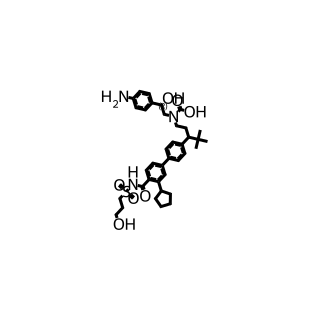 CC(C)(C)C(CCN(C[C@H](O)c1ccc(N)cc1)C(=O)O)c1ccc(-c2ccc(C(=O)NS(=O)(=O)CCCO)c(C3CCCC3)c2)cc1